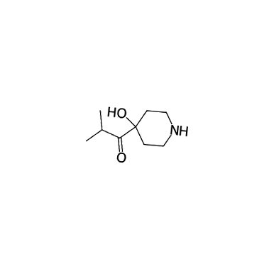 CC(C)C(=O)C1(O)CCNCC1